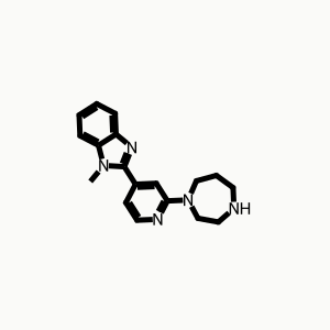 Cn1c(-c2ccnc(N3CCCNCC3)c2)nc2ccccc21